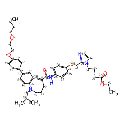 CCCCOCCOc1ccc(-c2ccc3c(c2)C=C(C(=O)Nc2ccc(SCc4nccn4CCCC(=O)OCC)cc2)CCCN3CC(C)C)cc1